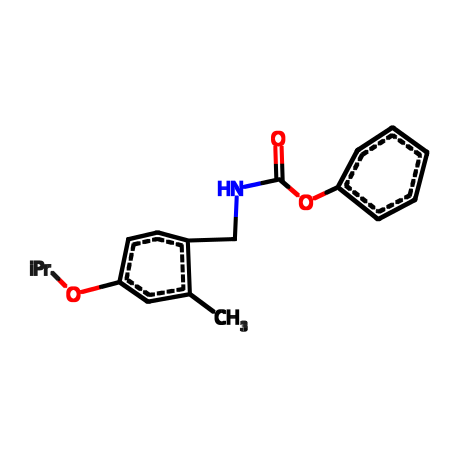 Cc1cc(OC(C)C)ccc1CNC(=O)Oc1ccccc1